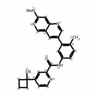 CNc1cc2ncc(-c3cc(NC(=O)c4cc(C5(C#N)CCC5)ccn4)ccc3C)cc2cn1